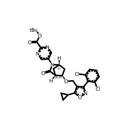 CC(C)(C)OC(=O)c1ncc(N2C(=O)[C@@H]3C[C@H]2C[C@H]3OCc2c(-c3c(Cl)cccc3Cl)noc2C2CC2)cn1